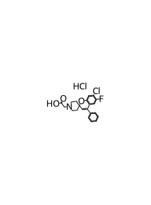 Cl.O=C(O)CN1CCC2(C=C(c3ccccc3)c3cc(F)c(Cl)cc3O2)CC1